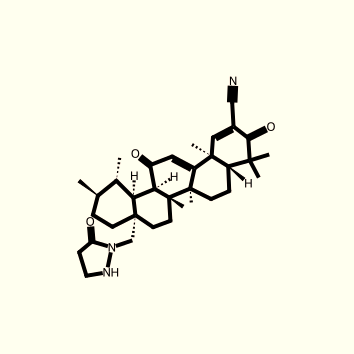 C[C@@H]1[C@H]2[C@H]3C(=O)C=C4[C@@]5(C)C=C(C#N)C(=O)C(C)(C)[C@@H]5CC[C@@]4(C)[C@]3(C)CC[C@@]2(CN2NCCC2=O)CC[C@H]1C